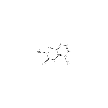 CC(C)(C)OC(=O)Nc1c(F)cccc1[N+](=O)[O-]